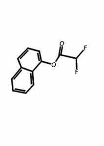 O=C(Oc1cccc2ccccc12)C(F)F